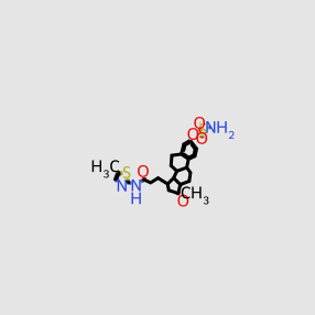 Cc1cnc(NC(=O)CCC2CC(=O)C3(C)CCC4c5ccc(OS(N)(=O)=O)cc5CCC4C23)s1